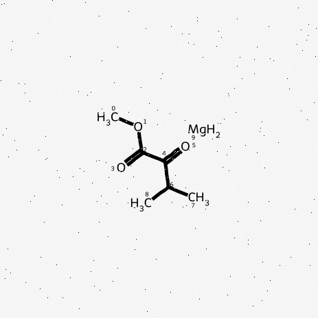 COC(=O)C(=O)C(C)C.[MgH2]